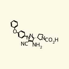 N#Cc1c(N)c([C@@H]2CCN(C(=O)O)C2)nn1-c1ccc(Oc2ccccc2)cc1